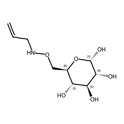 C=CCNOC[C@H]1O[C@H](O)[C@H](O)[C@@H](O)[C@@H]1O